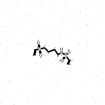 C=CS(=O)(=O)CCCCNS(=O)(=O)C=C